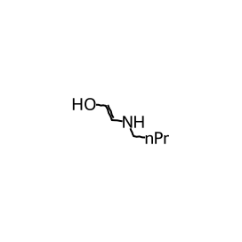 CCCCNC=CO